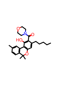 CCCCCc1cc2c(c(O)c1C(=O)N1CCOCC1)-c1cc(C)ccc1C(C)(C)O2